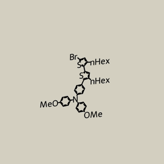 CCCCCCc1cc(-c2sc(Br)cc2CCCCCC)sc1-c1ccc(N(c2ccc(OC)cc2)c2ccc(OC)cc2)cc1